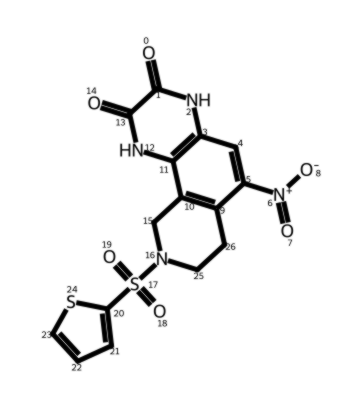 O=c1[nH]c2cc([N+](=O)[O-])c3c(c2[nH]c1=O)CN(S(=O)(=O)c1cccs1)CC3